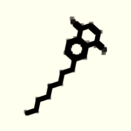 CCCCCCCCc1ccc2c(c1)C(=O)C=CC2=O